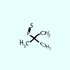 CC(C)(C)P=S